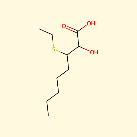 CCCCCC(SCC)C(O)C(=O)O